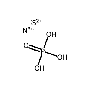 O=P(O)(O)O.[N+3].[S+2]